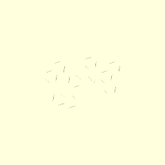 c1ccc2c(-c3cc(-c4cccc5ccccc45)cc(-c4nc5c6ccccc6c6ccccc6c5c5ccccc45)c3)cccc2c1